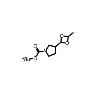 CC1OC(C2CCN(C(=O)OC(C)(C)C)C2)O1